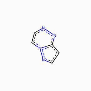 [c]1cc2nnccn2n1